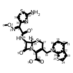 CON=C(C(=O)NC1C(=O)N2C(C(=O)[O-])=C(C[n+]3ccc(C)c4ccsc43)CS[C@@H]12)c1csc(N)n1